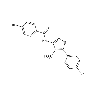 O=C(Nc1csc(-c2ccc(C(F)(F)F)cc2)c1C(=O)O)c1ccc(Br)cc1